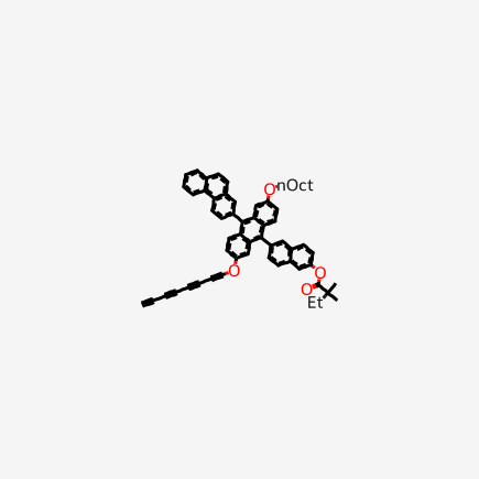 C#CC#CC#CC#COc1ccc2c(-c3ccc4c(ccc5ccccc54)c3)c3cc(OCCCCCCCC)ccc3c(-c3ccc4cc(OC(=O)C(C)(C)CC)ccc4c3)c2c1